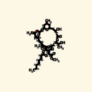 C=C1CC2C[C@@H](O)CC(=O)O[C@@H]([C@@H](C)O)C[C@@H]3C/C(=C\C(=O)OC)[C@H](OC(=O)/C=C/C=C/CCC)[C@@](O)(O3)C(C)(C)/C=C/[C@H]3CC(=C)C[C@@H](C[C@@H](C1)O2)O3